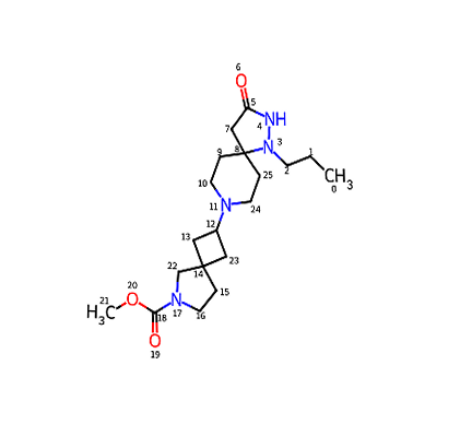 CCCN1NC(=O)CC12CCN(C1CC3(CCN(C(=O)OC)C3)C1)CC2